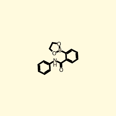 O=C(Nc1ccccc1)c1ccccc1B1OCCO1